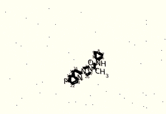 CC(C(=O)Nc1ccccc1)N1CCN(c2ccc3cc(F)ccc3n2)CC1